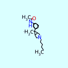 [CH2]C1(c2cccc(NC(C)=O)c2)C2CN(CCCCCC)CC21